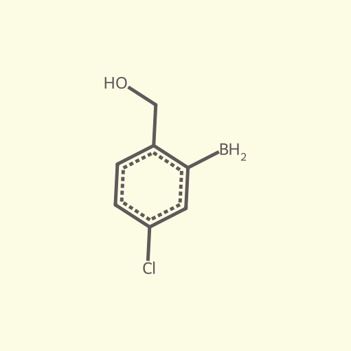 Bc1cc(Cl)ccc1CO